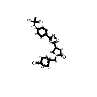 CC(F)(F)Oc1ccc(-c2noc(C3CC(=O)N(Cc4ccc(Cl)cc4)C3)n2)cc1